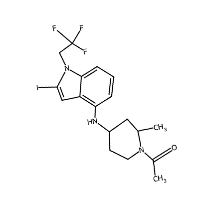 CC(=O)N1CCC(Nc2cccc3c2cc(I)n3CC(F)(F)F)CC1C